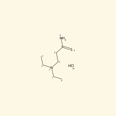 CCN(CC)CCC(N)=S.Cl